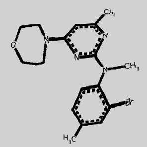 Cc1ccc(N(C)c2nc(C)cc(N3CCOCC3)n2)c(Br)c1